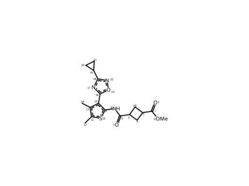 COC(=O)C1CC(C(=O)Nc2sc(C)c(C)c2-c2nc(C3CC3)no2)C1